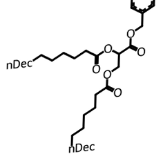 CCCCCCCCCCCCCCCC(=O)OCC(OC(=O)CCCCCCCCCCCCCCC)C(=O)OCc1ccccc1